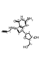 C#CCN[n+]1cn([C@H]2C[C@H](O)[C@@H](CO)O2)c2nc(N)[nH]c(=O)c21